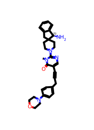 Cn1c(N2CCC3(CC2)Cc2ccccc2[C@H]3N)ncc(C#CCc2ccc(N3CCOCC3)cc2)c1=O